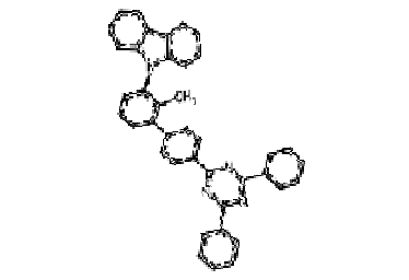 Cc1c(-c2ccc(-c3nc(-c4ccccc4)nc(-c4ccccc4)n3)cc2)cccc1-n1c2ccccc2c2ccccc21